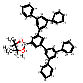 CC1(C)OB(c2cc(-c3cc(-c4ccccc4)cc(-c4ccccc4)c3)cc(-c3cc(-c4ccccc4)cc(-c4ccccc4)c3)c2)OC1(C)C